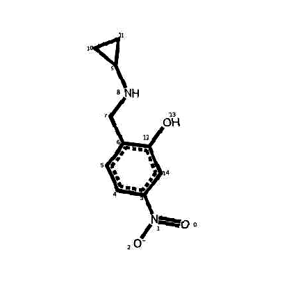 O=[N+]([O-])c1ccc(CNC2CC2)c(O)c1